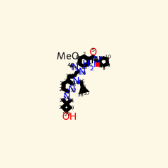 COc1cc(C(=O)N2CC3CCC2[C@@H]3N)cc2nc(-c3cc4ccc(N5CC6(CC(O)C6)C5)nc4n3CC3CC3)n(C)c12